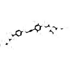 CCOC(=O)CN(C(=O)CC)C(=O)CNc1cc(C)c(C#CCNc2ccc(C(=N)NC(=O)OC(C)(C)C)cc2)cc1C